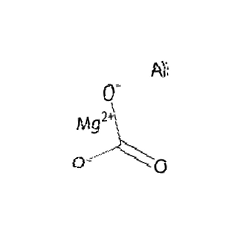 O=C([O-])[O-].[Al].[Mg+2]